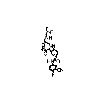 CN1OC(CNCC(F)F)Cn2nc3c(c2C1=O)CN(C(=O)Nc1ccc(F)c(C#N)c1)CC3